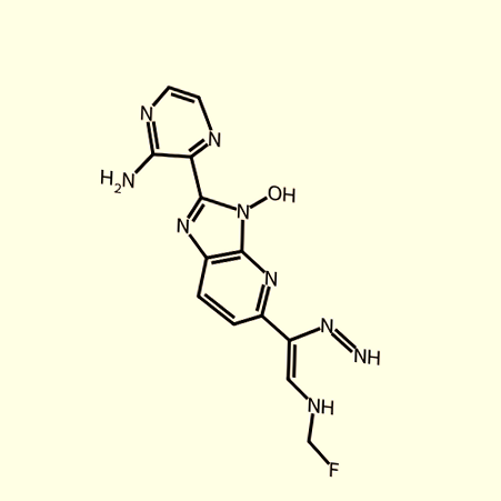 N=N/C(=C\NCF)c1ccc2nc(-c3nccnc3N)n(O)c2n1